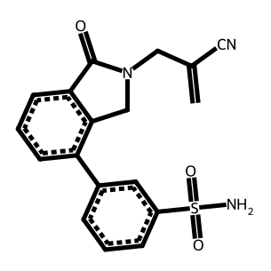 C=C(C#N)CN1Cc2c(cccc2-c2cccc(S(N)(=O)=O)c2)C1=O